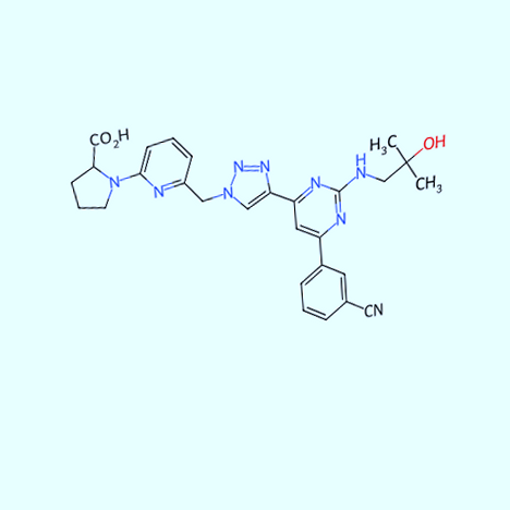 CC(C)(O)CNc1nc(-c2cccc(C#N)c2)cc(-c2cn(Cc3cccc(N4CCCC4C(=O)O)n3)nn2)n1